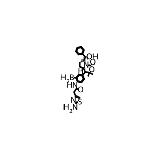 Bc1cc(C2[C@H]3CC[C@H]([C@H](O)c4ccccc4)N3C(=O)OC2(C)C)ccc1NC(=O)Cc1csc(N)n1